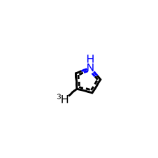 [3H]c1cc[nH]c1